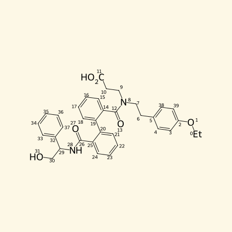 CCOc1ccc(CCN(CCC(=O)O)C(=O)c2ccccc2-c2ccccc2C(=O)NC(CO)c2ccccc2)cc1